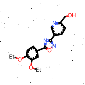 CCOc1ccc(-c2nc(-c3ccc(CO)nc3)no2)cc1OCC